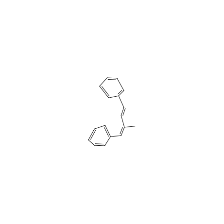 CC(=C/c1ccccc1)/C=C/c1ccccc1